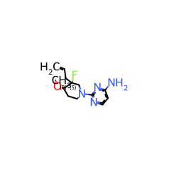 C=CC[C@]1(F)CN(c2nccc(N)n2)CC[C@H]1OC